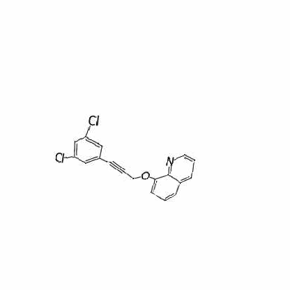 Clc1cc(Cl)cc(C#CCOc2cccc3cccnc23)c1